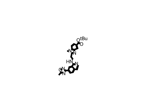 Cc1nc(-c2ccc3ccnc(NCCc4nc5cc(C(=O)OC(C)(C)C)ccc5n4C)c3c2)no1